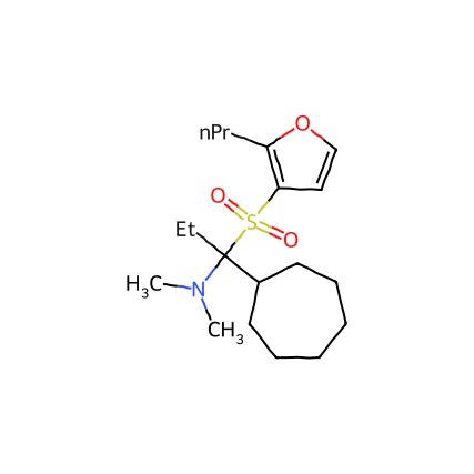 CCCc1occc1S(=O)(=O)C(CC)(C1CCCCCC1)N(C)C